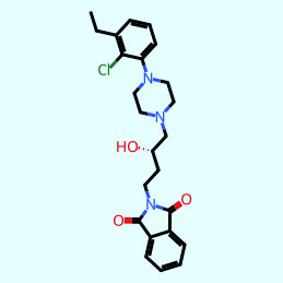 CCc1cccc(N2CCN(C[C@@H](O)CCN3C(=O)c4ccccc4C3=O)CC2)c1Cl